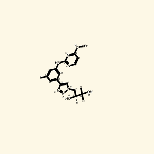 Cc1cc(Nc2nccc(OC(C)C)n2)cc(-c2cn(C[C@](C)(O)C(C)(C)O)nn2)c1